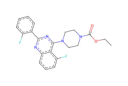 CCOC(=O)N1CCN(c2nc(-c3ccccc3F)nc3cccc(F)c23)CC1